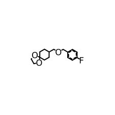 Fc1ccc(COCC2CCC3(CC2)OCCO3)cc1